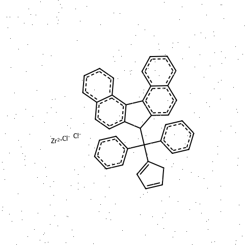 C1=CCC(C(c2ccccc2)(c2ccccc2)C2c3ccc4ccccc4c3-c3c2ccc2ccccc32)=C1.[Cl-].[Cl-].[Zr+2]